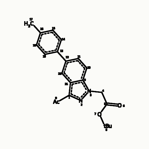 CC(=O)c1nn(CC(=O)OC(C)(C)C)c2ccc(-c3ccc(C)cc3)cc12